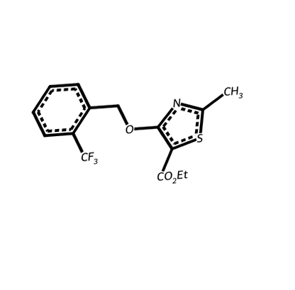 CCOC(=O)c1sc(C)nc1OCc1ccccc1C(F)(F)F